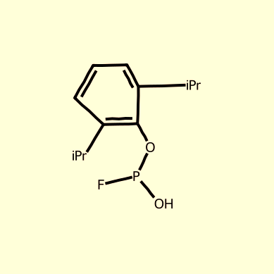 CC(C)c1cccc(C(C)C)c1OP(O)F